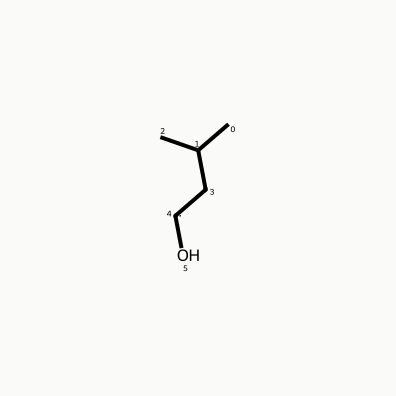 CC(C)C[CH]O